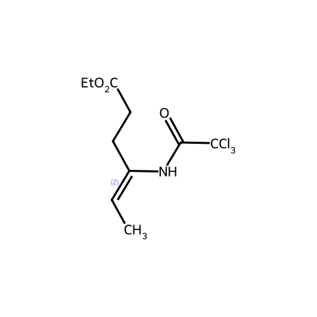 C/C=C(/CCC(=O)OCC)NC(=O)C(Cl)(Cl)Cl